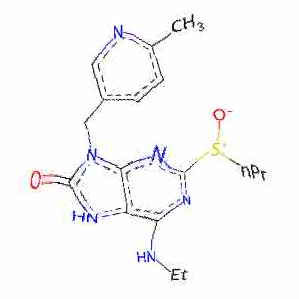 CCC[S+]([O-])c1nc(NCC)c2[nH]c(=O)n(Cc3ccc(C)nc3)c2n1